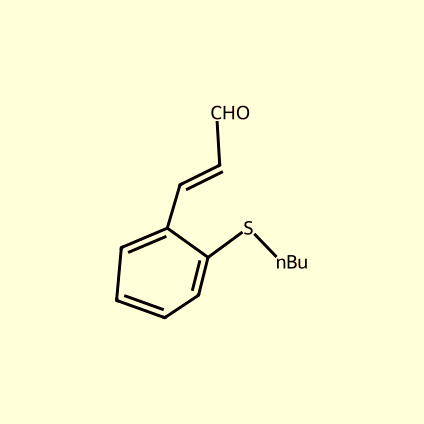 CCCCSc1ccccc1/C=C/C=O